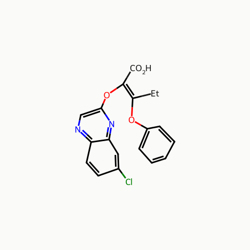 CCC(Oc1ccccc1)=C(Oc1cnc2ccc(Cl)cc2n1)C(=O)O